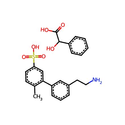 Cc1ccc(S(=O)(=O)O)cc1-c1cccc(CCN)c1.O=C(O)C(O)c1ccccc1